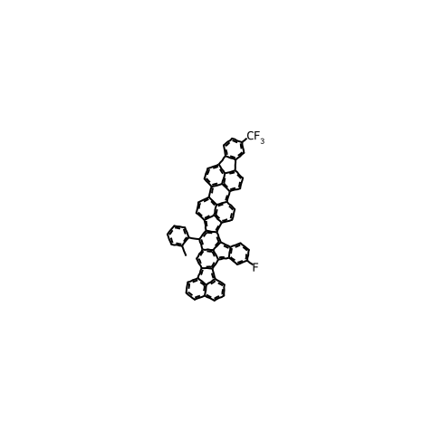 Cc1ccccc1-c1c2cc3c4cccc5cccc(c54)c3c3c4cc(F)ccc4c(c4c5ccc6c7ccc8c9c(ccc(c%10ccc(c14)c5c%106)c97)-c1ccc(C(F)(F)F)cc1-8)c23